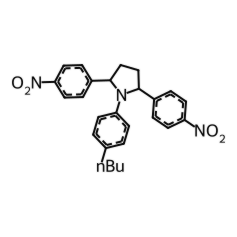 CCCCc1ccc(N2C(c3ccc([N+](=O)[O-])cc3)CCC2c2ccc([N+](=O)[O-])cc2)cc1